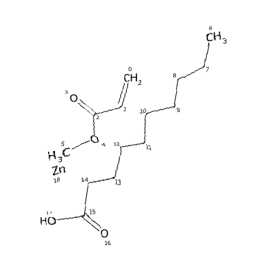 C=CC(=O)OC.CCCCCCCCCC(=O)O.[Zn]